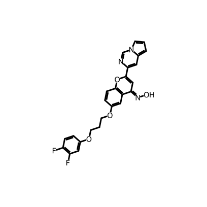 ON=c1cc(-c2cc3cccn3cn2)oc2ccc(OCCCOc3ccc(F)c(F)c3)cc12